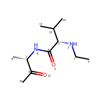 CCN[C@H](C(=O)N[C@@H](C)C(C)=O)C(C)C